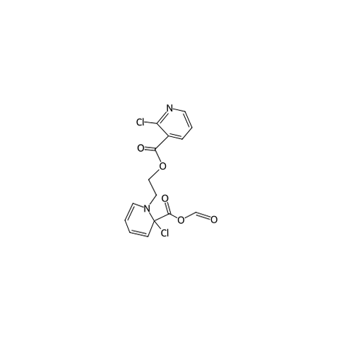 O=COC(=O)C1(Cl)C=CC=CN1CCOC(=O)c1cccnc1Cl